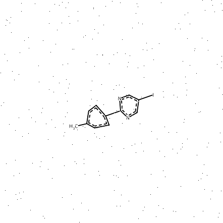 Cc1ccc(-c2ncc(I)cn2)cc1